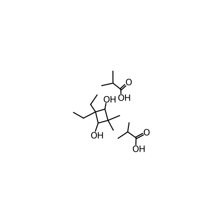 CC(C)C(=O)O.CC(C)C(=O)O.CCC1(CC)C(O)C(C)(C)C1O